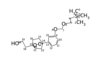 C[Si](C)(C)CCOCOc1cccc(C23CCC(CCO)(CC2)OC3)c1